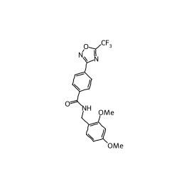 COc1ccc(CNC(=O)c2ccc(-c3noc(C(F)(F)F)n3)cc2)c(OC)c1